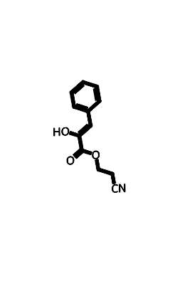 N#CCCOC(=O)C(O)=Cc1ccccc1